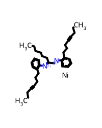 CCCC#CCCCc1ccccc1/N=C/C(CCCCCC)=N/c1ccccc1CCCC#CCCC.[Ni]